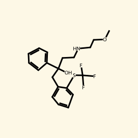 COCCNCCC(O)(Cc1ccccc1SC(F)(F)F)c1ccccc1